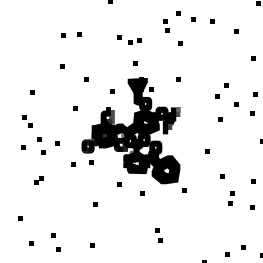 O=C(O[C@@H](Cc1c(Cl)c[n+]([O-])cc1Cl)c1ccc(OC(F)F)c(OCC2CC2)c1)[C@@H]1SCCN1C(=O)c1ccccc1